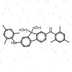 CCCCCCCCC1(CCCCCCCC)c2cc(Nc3c(C)cc(C)cc3C)ccc2-c2ccc(Nc3c(C)cc(C)cc3C)cc21